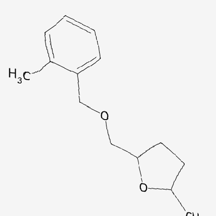 Cc1ccccc1COCC1CCC(C)O1